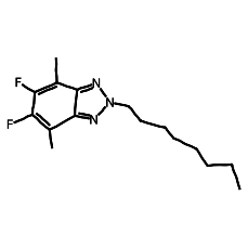 CCCCCCCCn1nc2c(C)c(F)c(F)c(C)c2n1